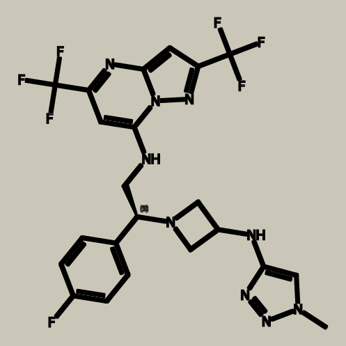 Cn1cc(NC2CN([C@H](CNc3cc(C(F)(F)F)nc4cc(C(F)(F)F)nn34)c3ccc(F)cc3)C2)nn1